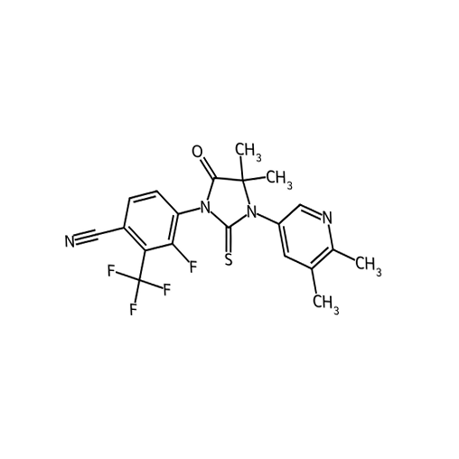 Cc1cc(N2C(=S)N(c3ccc(C#N)c(C(F)(F)F)c3F)C(=O)C2(C)C)cnc1C